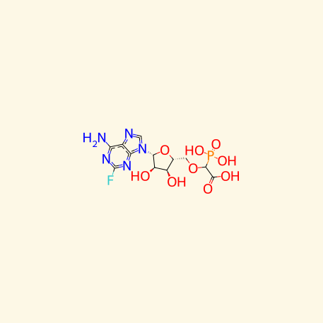 Nc1nc(F)nc2c1ncn2[C@@H]1O[C@H](COC(C(=O)O)P(=O)(O)O)[C@@H](O)[C@H]1O